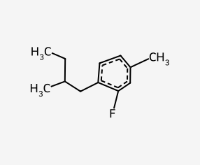 CCC(C)Cc1ccc(C)cc1F